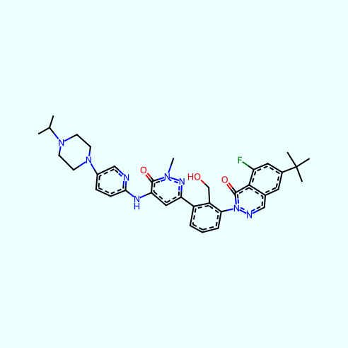 CC(C)N1CCN(c2ccc(Nc3cc(-c4cccc(-n5ncc6cc(C(C)(C)C)cc(F)c6c5=O)c4CO)nn(C)c3=O)nc2)CC1